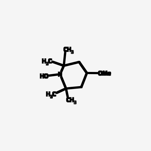 COC1CC(C)(C)N(O)C(C)(C)C1